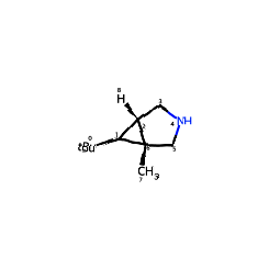 CC(C)(C)C1[C@@H]2CNC[C@]12C